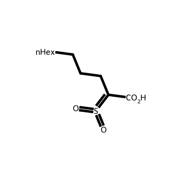 CCCCCCCCCC(C(=O)O)=S(=O)=O